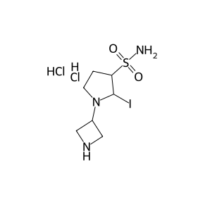 Cl.Cl.NS(=O)(=O)C1CCN(C2CNC2)C1I